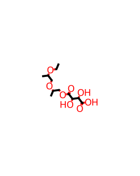 CCOC(C)COC(C)COC(=O)C(O)C(O)C(=O)O